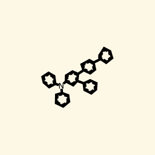 c1ccc(-c2ccc(-c3ccc(N(c4ccccc4)c4ccccc4)cc3-c3ccccc3)cc2)cc1